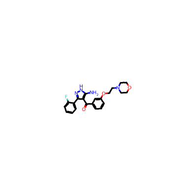 Nc1[nH]nc(-c2ccccc2F)c1C(=O)c1cccc(OCCN2CCOCC2)c1